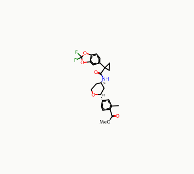 COC(=O)c1ccc([C@H]2C[C@@H](NC(=O)C3(c4ccc5c(c4)OC(F)(F)O5)CC3)CCO2)cc1C